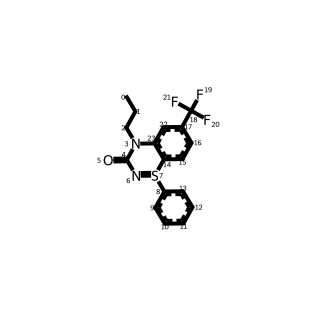 CCCN1C(=O)N=S(c2ccccc2)c2ccc(C(F)(F)F)cc21